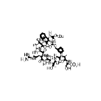 CCC[C@H](NC(=O)[C@@H](NC(=O)[C@@H](NC(=O)OCc1ccccc1)[C@H](NC(=O)OC(C)(C)C)c1ccccc1)[C@H](O)C(C)C)C(=O)N[C@H](CCCNC(=N)N)C(=O)N[C@H](C(=O)N[C@H](C(=O)NCC(=O)N[C@@H](C)C(=O)N[C@@H](CO)C(=O)O)[C@H](C)O)[C@@H](C)CC